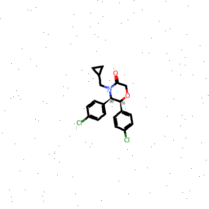 O=C1CO[C@@H](c2ccc(Cl)cc2)[C@@H](c2ccc(Cl)cc2)N1CC1CC1